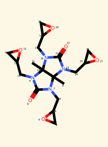 CC12N(CC3CO3)C(=O)N(CC3CO3)C1(C)N(CC1CO1)C(=O)N2CC1CO1